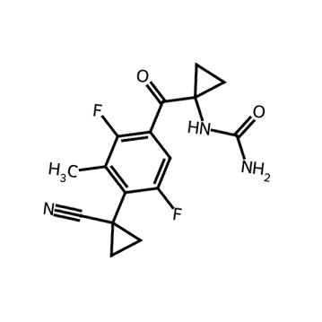 Cc1c(F)c(C(=O)C2(NC(N)=O)CC2)cc(F)c1C1(C#N)CC1